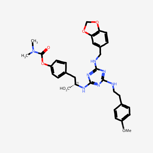 COc1ccc(CCNc2nc(NCc3ccc4c(c3)OCO4)nc(N[C@@H](Cc3ccc(OC(=O)N(C)C)cc3)C(=O)O)n2)cc1